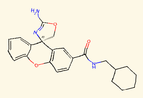 NC1=N[C@]2(CO1)c1ccccc1Oc1ccc(C(=O)NCC3CCCCC3)cc12